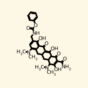 CN(C)c1cc(CNC(=O)Oc2ccccc2)c(O)c2c1CC1CC3C(C(=O)C(C(N)=O)=C(O)C3N(C)C)C(O)=C1C2=O